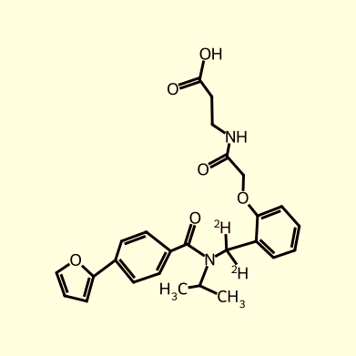 [2H]C([2H])(c1ccccc1OCC(=O)NCCC(=O)O)N(C(=O)c1ccc(-c2ccco2)cc1)C(C)C